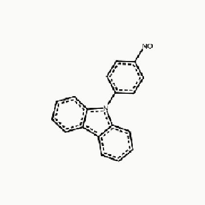 O=Nc1ccc(-n2c3ccccc3c3ccccc32)cc1